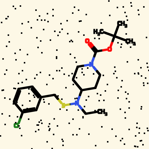 CCN(SCc1cccc(Cl)c1)C1CCN(C(=O)OC(C)(C)C)CC1